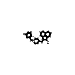 O=C1c2cccc3c2C(CCC3)C1CC1CCN(Cc2cccc(F)c2)CC1